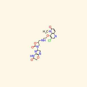 Cn1c(=O)ccc2ncc(Cl)c(OCCNCC3CN(c4cnc5c(n4)NC(=O)CO5)C(=O)O3)c21